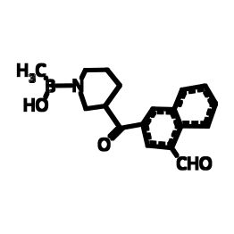 CB(O)N1CCCC(C(=O)c2cc(C=O)c3ccccc3c2)C1